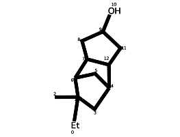 CCC1(C)CC2CC1C1CC(O)CC21